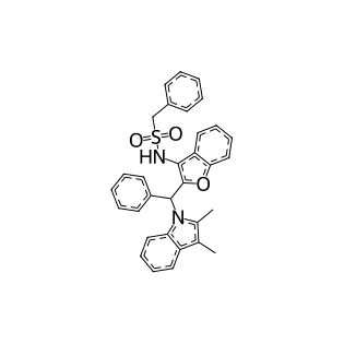 Cc1c(C)n(C(c2ccccc2)c2oc3ccccc3c2NS(=O)(=O)Cc2ccccc2)c2ccccc12